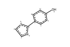 Oc1ccc(-c2nc[c]s2)cc1